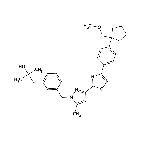 COCC1(c2ccc(-c3noc(-c4cc(C)n(Cc5cccc(CC(C)(C)O)c5)n4)n3)cc2)CCCC1